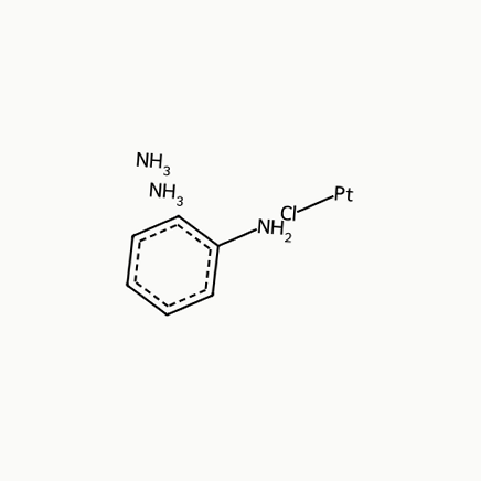 N.N.Nc1ccccc1.[Cl][Pt]